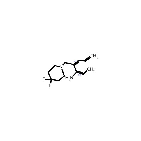 C=C/C=C(CN1CCC(F)(F)CC1)\C(N)=C/C